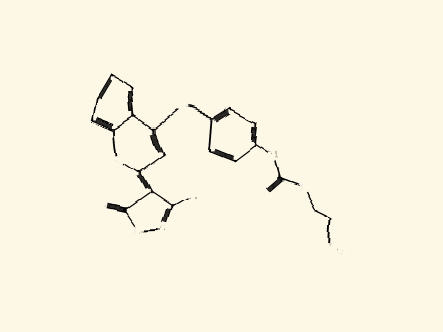 CCCC1=NNC(=O)/C1=C1/C=C(Sc2ccc(NC(=O)OCCOC)cc2)c2ccccc2N1